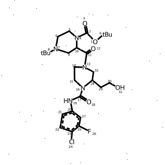 CC(C)(C)OC(=O)N1CCN(C(C)(C)C)CC1C(=O)N1CCN(C(=O)Nc2ccc(Cl)c(F)c2)C(CCO)C1